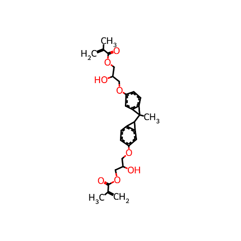 C=C(C)C(=O)OCC(O)COc1ccc2c(c1)C2C1(C)c2ccc(OCC(O)COC(=O)C(=C)C)cc21